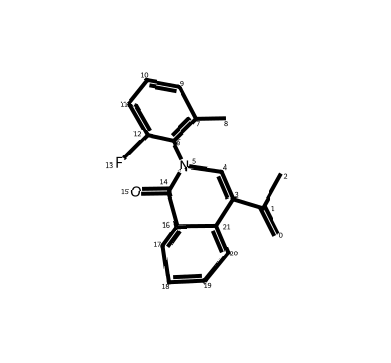 C=C(C)c1cn(-c2c(C)cccc2F)c(=O)c2ccccc12